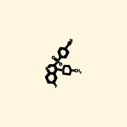 CC1CCN(c2c(S(=O)(=O)c3ccc(C#N)cc3)cnc3ccc(F)cc23)CC1